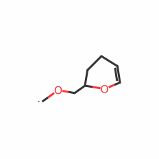 [CH2]OCC1CCC=CO1